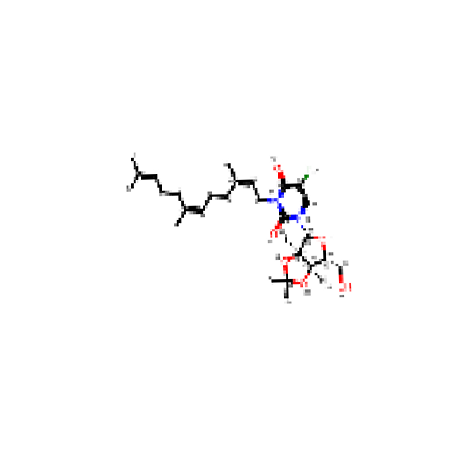 CC(C)=CCCC(C)=CCCC(C)=CCn1c(=O)c(F)cn([C@@H]2O[C@H](CO)[C@H]3OC(C)(C)O[C@H]32)c1=O